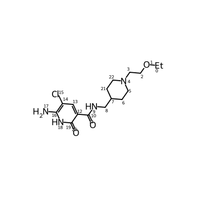 CCOCCN1CCC(CNC(=O)c2cc(Cl)c(N)[nH]c2=O)CC1